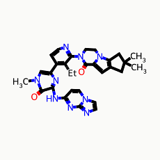 CCc1c(-c2cn(C)c(=O)c(Nc3ccn4ccnc4n3)n2)ccnc1N1CCn2c(cc3c2CC(C)(C)C3)C1=O